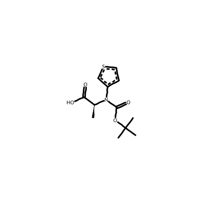 C[C@@H](C(=O)O)N(C(=O)OC(C)(C)C)c1ccsc1